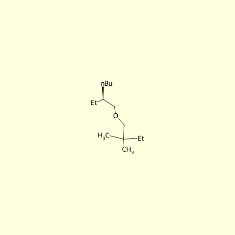 CCCC[C@H](CC)COCC(C)(C)CC